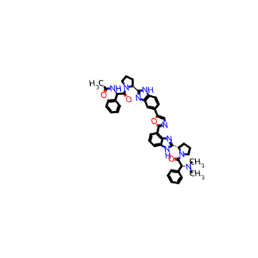 CC(=O)N[C@@H](C(=O)N1CCC[C@H]1c1nc2cc(-c3cnc(-c4cccc5[nH]c([C@@H]6CCCN6C(=O)[C@@H](c6ccccc6)N(C)C)nc45)o3)ccc2[nH]1)c1ccccc1